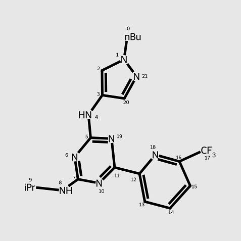 CCCCn1cc(Nc2nc(NC(C)C)nc(-c3cccc(C(F)(F)F)n3)n2)cn1